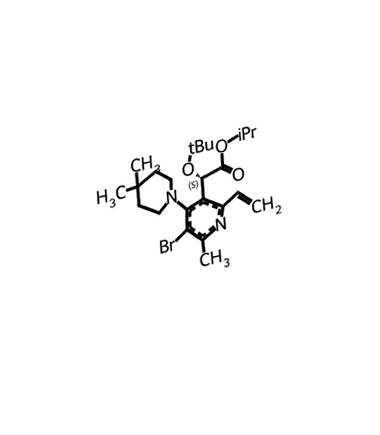 C=Cc1nc(C)c(Br)c(N2CCC(C)(C)CC2)c1[C@H](OC(C)(C)C)C(=O)OC(C)C